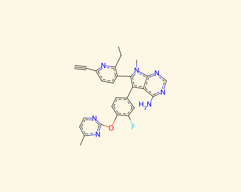 C#Cc1ccc(-c2c(-c3ccc(Oc4nccc(C)n4)c(F)c3)c3c(N)ncnc3n2C)c(CC)n1